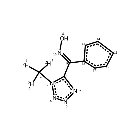 [2H]C([2H])([2H])n1nnnc1C(=NO)c1ccccc1